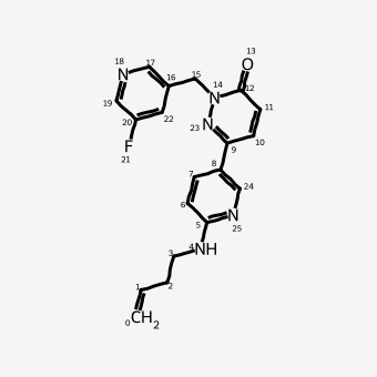 C=CCCNc1ccc(-c2ccc(=O)n(Cc3cncc(F)c3)n2)cn1